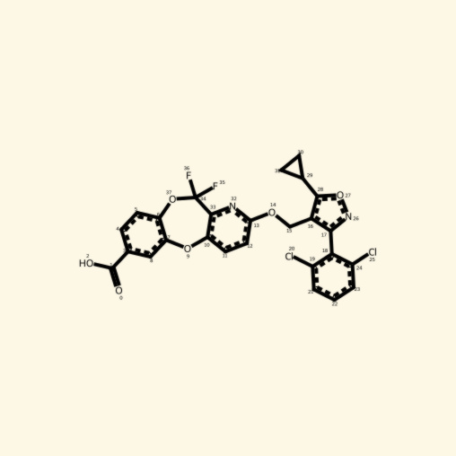 O=C(O)c1ccc2c(c1)Oc1ccc(OCc3c(-c4c(Cl)cccc4Cl)noc3C3CC3)nc1C(F)(F)O2